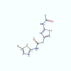 CC(=O)Nc1nc(CC(=O)Nc2ncc(C)s2)cs1